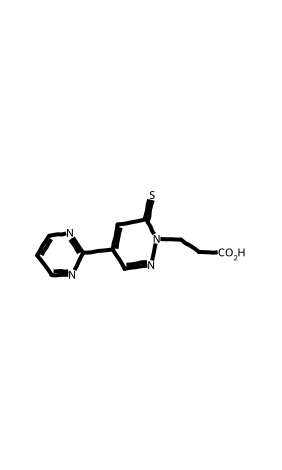 O=C(O)CCn1ncc(-c2ncccn2)cc1=S